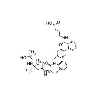 C[C@@H](O)CNC(C)(C)CC(=O)N[C@@H]1CSc2ccccc2N(Cc2ccc(-c3ccccc3C(=O)NCCCC(=O)O)cc2)C1=O